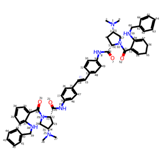 CN(C)[C@H]1C[C@@H](C(=O)Nc2ccc(/C=C/c3ccc(NC(=O)[C@@H]4C[C@H](N(C)C)CN4C(=O)c4ccccc4NCc4ccccc4)cc3)cc2)N(C(=O)C2=CCCC=C2NCc2ccccc2)C1